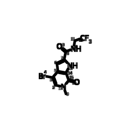 Cn1cc(Br)c2cc(C(=O)NCC(F)(F)F)[nH]c2c1=O